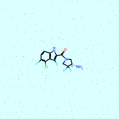 N[C@H]1CN(C(=O)c2[nH]c3ccc(F)c(Cl)c3c2F)CC1(F)F